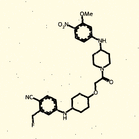 COc1cc(NC2CCN(C(=O)COC3CCC(Nc4ccc(C#N)c(CF)c4)CC3)CC2)ccc1[N+](=O)[O-]